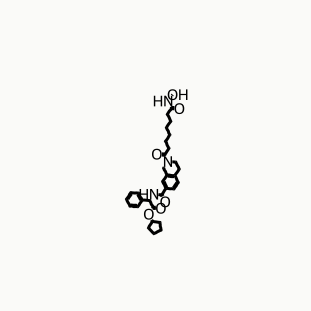 O=C(CCCCCCC(=O)N1CCc2ccc(C(=O)N[C@H](C(=O)OC3CCCC3)c3ccccc3)cc2C1)NO